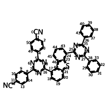 N#Cc1ccc(-c2nc(-c3ccc(C#N)cc3)nc(-c3cccc4sc5c(-c6nc(-c7ccccc7)nc(-c7ccccc7)n6)cccc5c34)n2)cc1